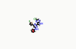 Fc1ccc(-c2cc(NC3CC4CCC3CC4)nc(-c3c[nH]c4ncc(Cl)nc34)n2)s1